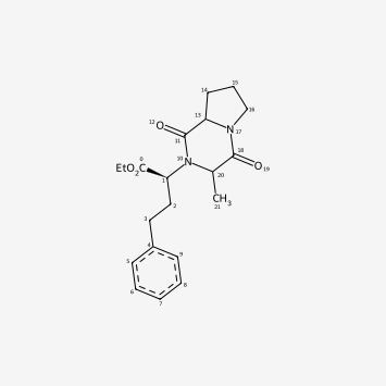 CCOC(=O)[C@H](CCc1ccccc1)N1C(=O)C2CCCN2C(=O)C1C